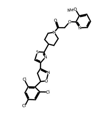 COc1cccnc1OCC(=O)N1CCC(c2nc(C3=NOC(c4c(Cl)cc(Cl)cc4Cl)C3)cs2)CC1